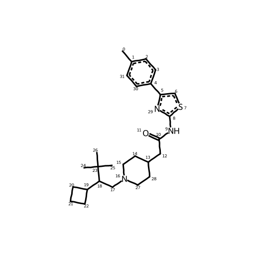 Cc1ccc(-c2csc(NC(=O)CC3CCN(CC(C4CCC4)C(C)(C)C)CC3)n2)cc1